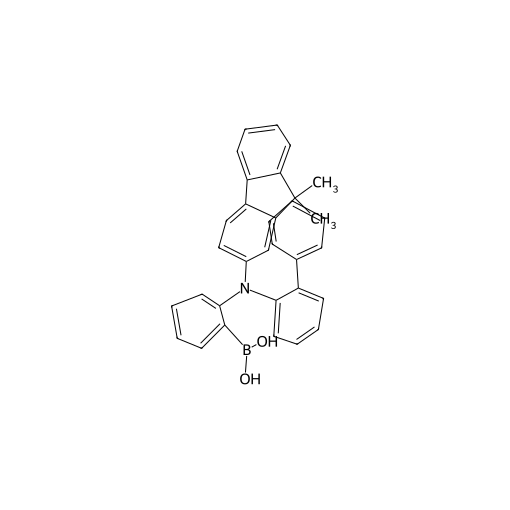 CC1(C)c2ccccc2-c2ccc(N(c3ccccc3B(O)O)c3ccccc3-c3ccccc3)cc21